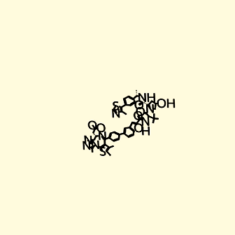 COC(=O)C[C@@H]1N=C(c2ccc(-c3ccc4oc(C(=O)N[C@H](C(=O)N5C[C@H](O)C[C@H]5C(=O)N[C@@H](C)c5ccc(-c6scnc6C)cc5)C(C)(C)C)cc4c3)cc2)c2c(sc(C)c2C)-n2c(C)nnc21